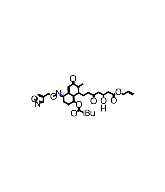 C=CCOC(=O)CC(O)CC(=O)CCC1C(C)C(=O)C=C2/C(=N/OCc3cnoc3)CCC(OC(=O)C(C)CC)C21